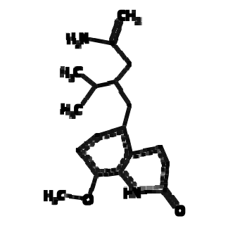 C=C(N)CC(Cc1ccc(OC)c2[nH]c(=O)ccc12)C(C)C